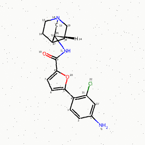 Nc1ccc(-c2ccc(C(=O)N[C@H]3CN4CCC3CC4)o2)c(Cl)c1